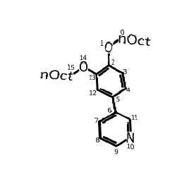 CCCCCCCCOc1ccc(-c2cccnc2)cc1OCCCCCCCC